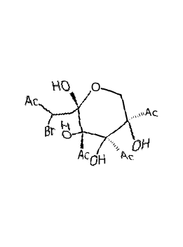 CC(=O)C(Br)[C@]1(O)OC[C@](O)(C(C)=O)[C@](O)(C(C)=O)[C@@]1(O)C(C)=O